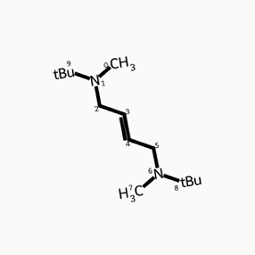 CN(C/C=C/CN(C)C(C)(C)C)C(C)(C)C